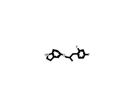 CC(COc1ccc2c(c1)CCN2)Cc1ccc(F)cc1F